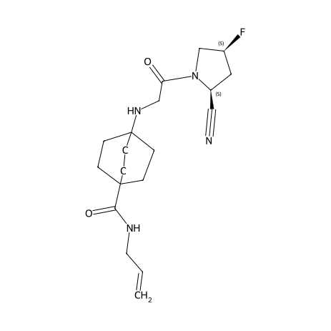 C=CCNC(=O)C12CCC(NCC(=O)N3C[C@@H](F)C[C@H]3C#N)(CC1)CC2